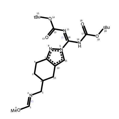 CO/C=N/CC1CCc2nn(/C(=N\C(=O)OC(C)(C)C)NC(=O)OC(C)(C)C)cc2C1